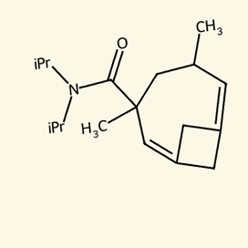 CC1C=C2CC(=CC(C)(C(=O)N(C(C)C)C(C)C)C1)C2